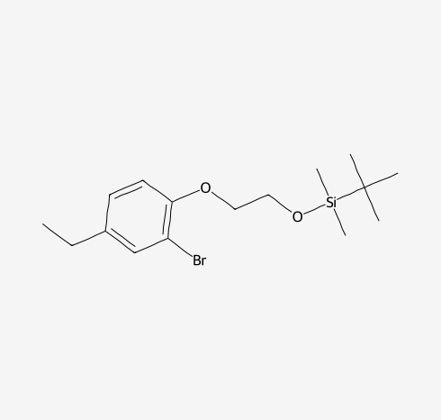 CCc1ccc(OCCO[Si](C)(C)C(C)(C)C)c(Br)c1